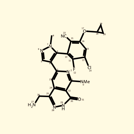 CNc1nc(-c2cnn(C)c2-c2c(F)c(Cl)cc(OC3CC3)c2C#N)cc2c(CN)n[nH]c(=O)c12